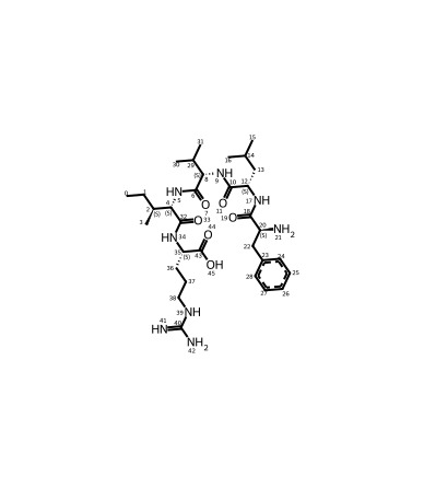 CC[C@H](C)[C@H](NC(=O)[C@@H](NC(=O)[C@H](CC(C)C)NC(=O)[C@@H](N)Cc1ccccc1)C(C)C)C(=O)N[C@@H](CCCNC(=N)N)C(=O)O